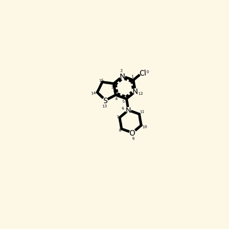 Clc1nc2c(c(N3CCOCC3)n1)SCC2